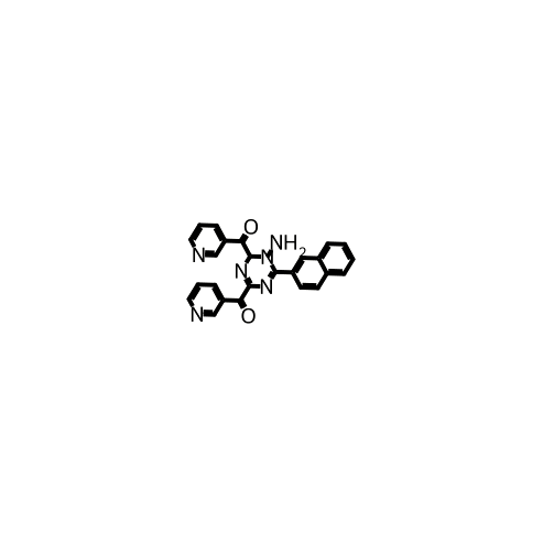 NN1C(c2ccc3ccccc3c2)=NC(C(=O)c2cccnc2)=NC1C(=O)c1cccnc1